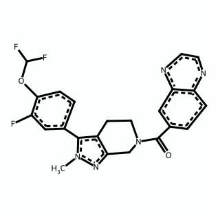 Cn1nc2c(c1-c1ccc(OC(F)F)c(F)c1)CCN(C(=O)c1ccc3nccnc3c1)C2